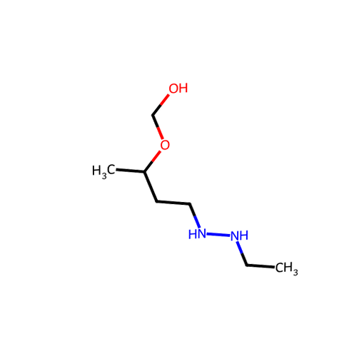 CCNNCCC(C)OCO